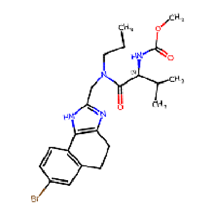 CCCN(Cc1nc2c([nH]1)-c1ccc(Br)cc1CC2)C(=O)[C@@H](NC(=O)OC)C(C)C